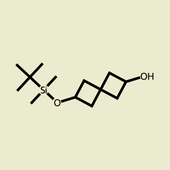 CC(C)(C)[Si](C)(C)OC1CC2(CC(O)C2)C1